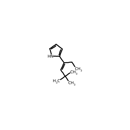 CC/C(=C\C(C)(C)C)c1ccc[nH]1